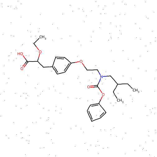 CCOC(Cc1ccc(OCCN(CC(CC)CC)C(=O)Oc2ccccc2)cc1)C(=O)O